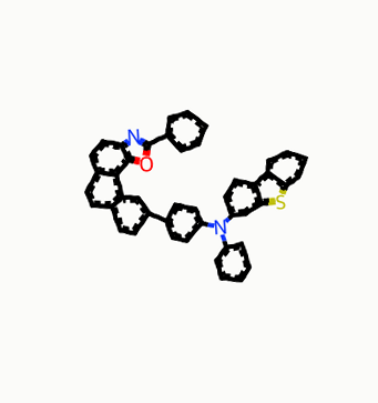 c1ccc(-c2nc3ccc4ccc5ccc(-c6ccc(N(c7ccccc7)c7ccc8c(c7)sc7ccccc78)cc6)cc5c4c3o2)cc1